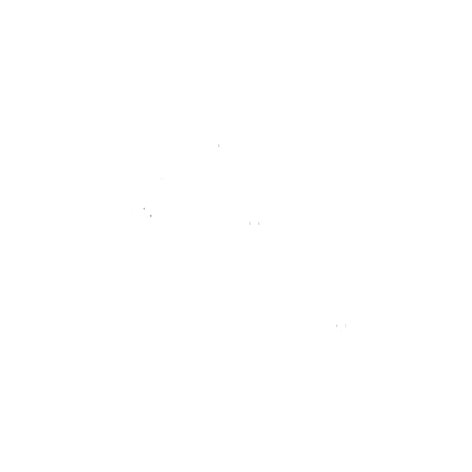 CCc1cc(OCCCCC=O)ccc1C(N)=O